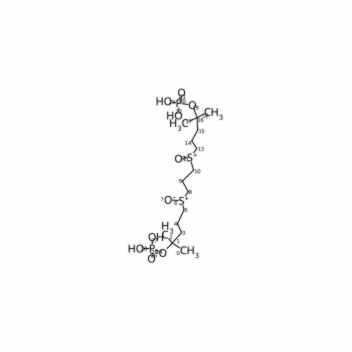 CC(C)(CCC[S+]([O-])CCC[S+]([O-])CCCC(C)(C)OP(=O)(O)O)OP(=O)(O)O